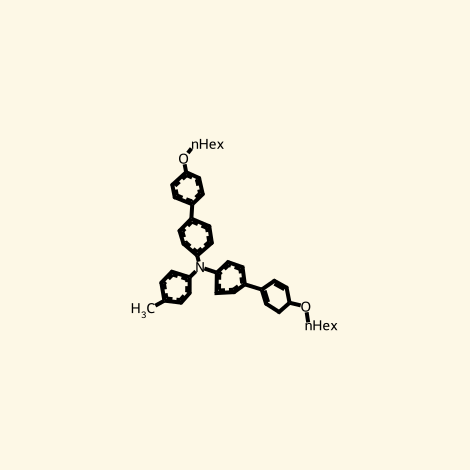 CCCCCCOc1ccc(-c2ccc(N(c3ccc(C)cc3)c3ccc(C4=CCC(OCCCCCC)C=C4)cc3)cc2)cc1